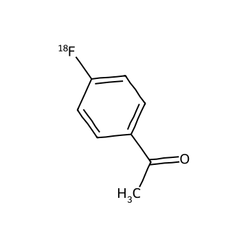 CC(=O)c1ccc([18F])cc1